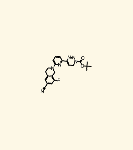 CC(C)(C)OC(=O)N1CC=C(c2cccc(N3CCc4cc(C#N)cc(F)c4C3)n2)N=N1